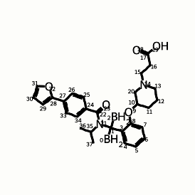 BC(B)(c1ccccc1OC1CCCN(CCC(=O)O)C1)N(C(=O)c1ccc(-c2ccco2)cc1)C(C)C